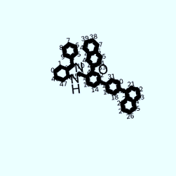 C1=CC2=C(c3ccccc3)N=C(c3ccc(-c4ccc(-c5cccc6ccccc56)cc4)c4oc5cc6ccccc6cc5c34)NC2C=C1